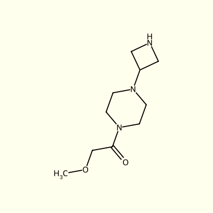 COCC(=O)N1CCN(C2CNC2)CC1